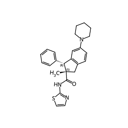 C[C@]1(C(=O)Nc2nccs2)Cc2ccc(N3CCCCC3)cc2[C@H]1c1ccccc1